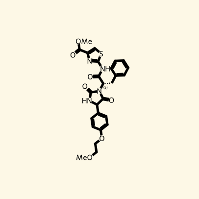 COCCOc1ccc(C2NC(=O)N([C@@H](Cc3ccccc3)C(=O)Nc3nc(C(=O)OC)cs3)C2=O)cc1